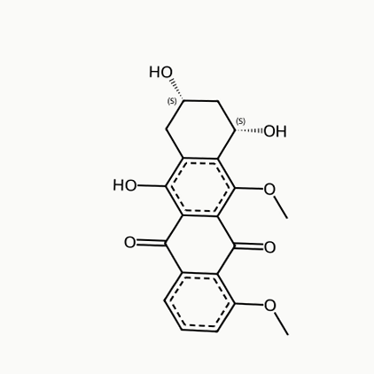 COc1cccc2c1C(=O)c1c(OC)c3c(c(O)c1C2=O)C[C@H](O)C[C@@H]3O